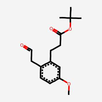 COc1ccc(CC=O)c(CCC(=O)OC(C)(C)C)c1